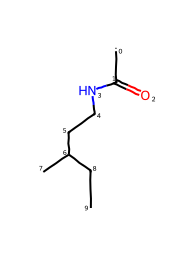 [CH2]C(=O)NCCC(C)CC